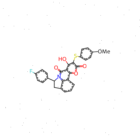 COc1ccc(Sc2c(O)c3c(=O)n4c5c(cccc5c3oc2=O)CC4c2ccc(F)cc2)cc1